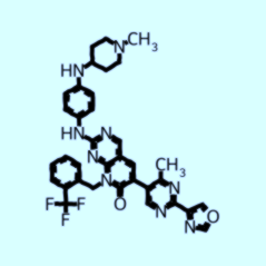 Cc1nc(-c2cocn2)ncc1-c1cc2cnc(Nc3ccc(NC4CCN(C)CC4)cc3)nc2n(Cc2ccccc2C(F)(F)F)c1=O